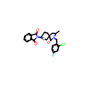 CC1CC2(CCC(N3C(=O)c4ccccc4C3=O)CC2)C(=O)N1Cc1ccc(F)cc1Cl